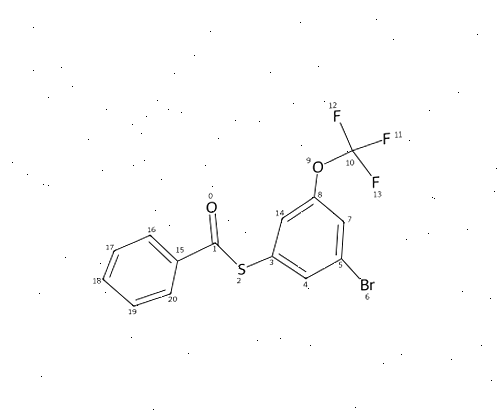 O=C(Sc1cc(Br)cc(OC(F)(F)F)c1)c1ccccc1